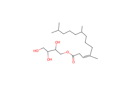 CC(=CCC(=O)OCC(O)C(O)CO)CCCC(C)CCCC(C)C